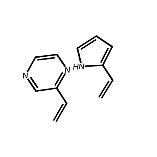 C=Cc1ccc[nH]1.C=Cc1cnccn1